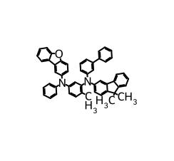 Cc1ccc(N(c2ccccc2)c2ccc3oc4ccccc4c3c2)cc1N(c1cccc(-c2ccccc2)c1)c1ccc2c(c1)-c1ccccc1C2(C)C